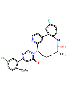 COc1ccc(Cl)cc1-c1cc(=O)n([C@H]2CCC[C@@H](C)C(=O)Nc3ccc(F)cc3-c3ccnc2c3)cn1